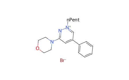 CCCCC[n+]1cc(-c2ccccc2)cc(N2CCOCC2)n1.[Br-]